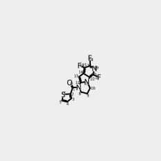 O=C(c1cccs1)N1CCCn2c1cc1c(F)c(F)nc(F)c12